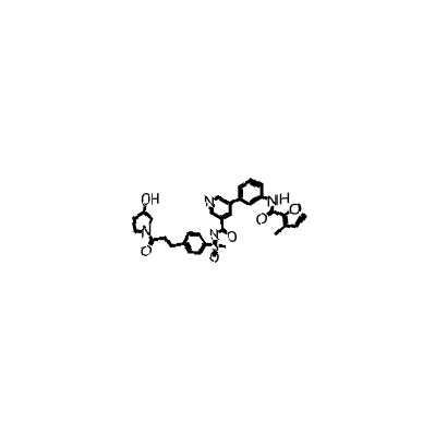 Cc1ccoc1C(=O)Nc1cccc(-c2cncc(C(=O)N=S(C)(=O)c3ccc(CCC(=O)N4CCC(O)C4)cc3)c2)c1